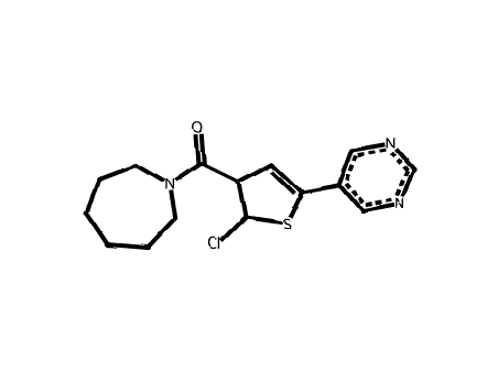 O=C(C1C=C(c2cncnc2)SC1Cl)N1CCCCCC1